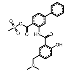 CN(C)Cc1ccc(O)c(C(=O)Nc2cc(-c3ccccc3)ccc2C(=O)OS(C)(=O)=O)c1